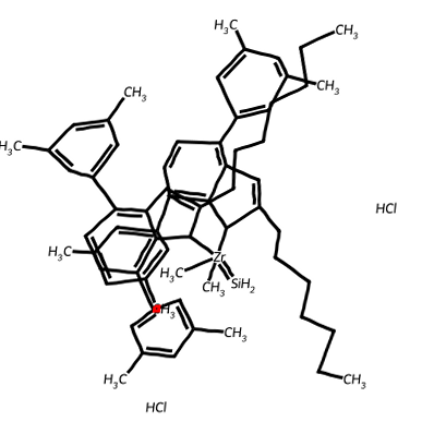 CCCCCCCC1=Cc2c(-c3cc(C)cc(C)c3)ccc(-c3cc(C)cc(C)c3)c2[CH]1[Zr]([CH3])([CH3])(=[SiH2])[CH]1C(CCCCCCC)=Cc2c(-c3cc(C)cc(C)c3)ccc(-c3cc(C)cc(C)c3)c21.Cl.Cl